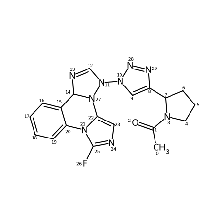 CC(=O)N1CCCC1c1cn(N2C=NC3c4ccccc4-n4c(cnc4F)N32)nn1